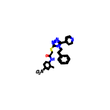 Cc1cc([N+](=O)[O-])ccc1NC(=O)CSc1nnc(-c2ccncc2)n1CCc1ccccc1